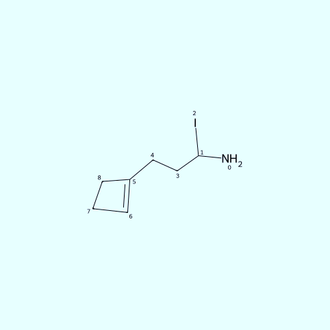 NC(I)CCC1=CCC1